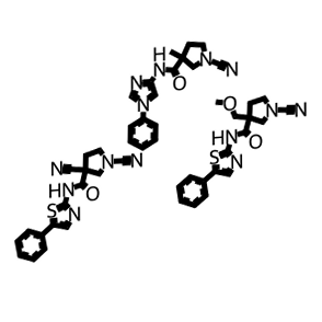 CC1(C(=O)Nc2cn(-c3ccccc3)cn2)CCN(C#N)C1.COCC1(C(=O)Nc2ncc(-c3ccccc3)s2)CCN(C#N)C1.N#CN1CCC(C#N)(C(=O)Nc2ncc(-c3ccccc3)s2)C1